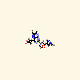 Cc1nc2nc(N3CCOC(c4cnn(C)c4)C3)nc(C3CC(=O)C3)c2nc1C